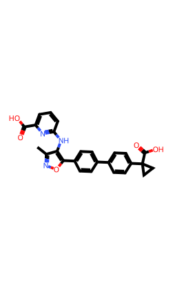 Cc1noc(-c2ccc(-c3ccc(C4(C(=O)O)CC4)cc3)cc2)c1Nc1cccc(C(=O)O)n1